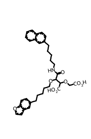 O=C(O)COC(C(=O)O)C(OCCCCCc1ccc2occc2c1)C(=O)NCCCCCc1ccc2ccccc2c1